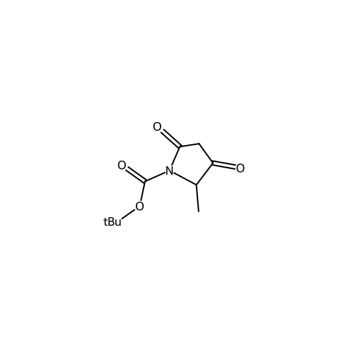 CC1C(=O)CC(=O)N1C(=O)OC(C)(C)C